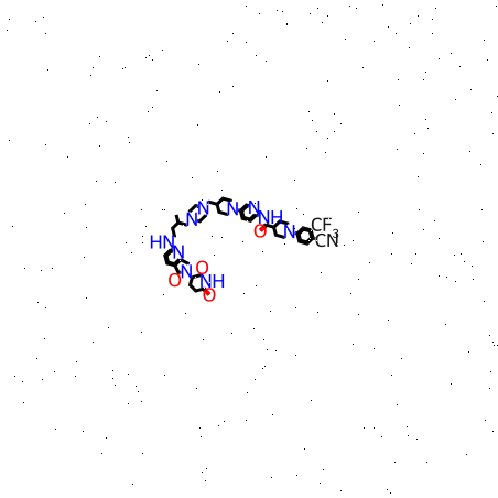 CC(CCNc1ccc2c(n1)CN(C1CCC(=O)NC1=O)C2=O)CN1CCN(CC2CCN(c3ccc(NC(=O)C4CCN(c5ccc(C#N)c(C(F)(F)F)c5)CC4)nc3)CC2)CC1